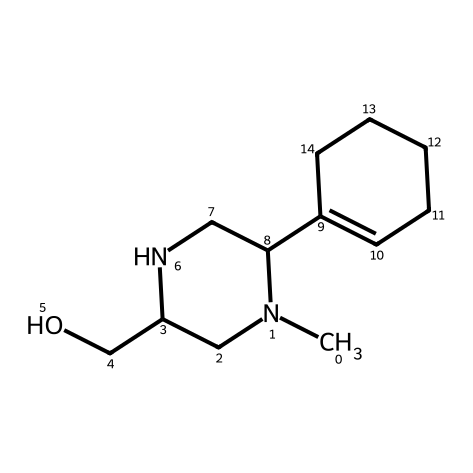 CN1CC(CO)NCC1C1=CCCCC1